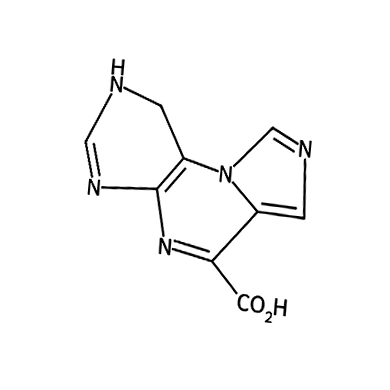 O=C(O)c1nc2c(n3cncc13)CNC=N2